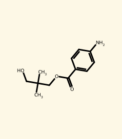 CC(C)(CO)COC(=O)c1ccc(N)cc1